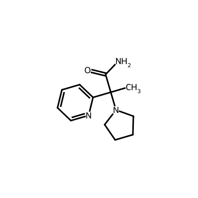 CC(C(N)=O)(c1ccccn1)N1CCCC1